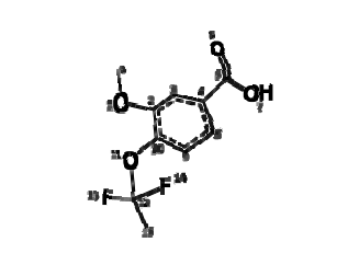 COc1cc(C(=O)O)ccc1OC(C)(F)F